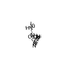 [N-]=[N+]=Nc1ccc(C(=O)NCCCCNC(=O)CI)c(O)c1N=[N+]=[N-]